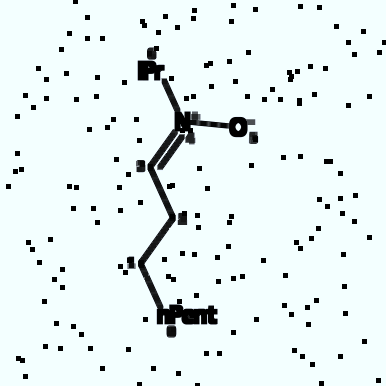 CCCCCCCC=[N+]([O-])C(C)C